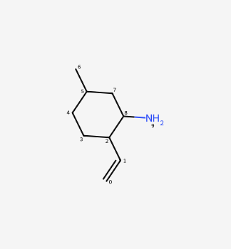 C=CC1CCC(C)CC1N